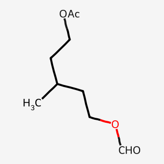 CC(=O)OCCC(C)CCOC=O